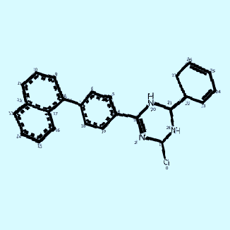 ClC1N=C(c2ccc(-c3cccc4ccccc34)cc2)NC(C2C=CC=CC2)N1